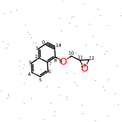 c1cc2ccccc2c(OCC2CO2)c#1